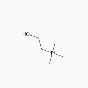 C[P+](C)(C)CCO